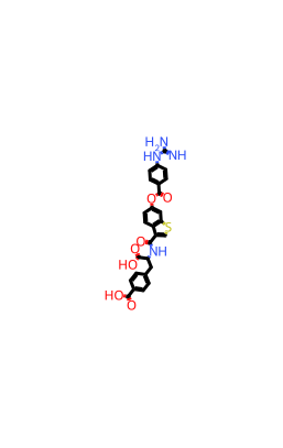 N=C(N)Nc1ccc(C(=O)Oc2ccc3c(C(=O)NC(Cc4ccc(C(=O)O)cc4)C(=O)O)csc3c2)cc1